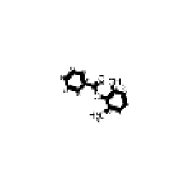 Cc1cccc(C)c1OC(=O)c1ccccc1